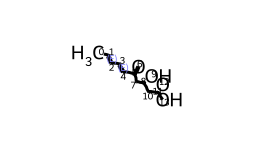 C/C=C/C=C/C(=O)CC(O)CC(=O)O